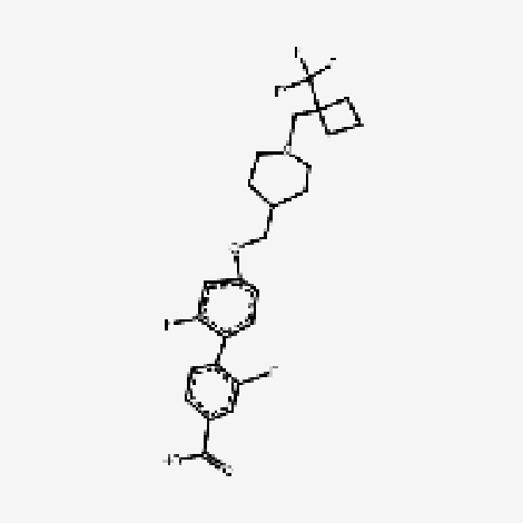 O=C(O)c1ccc(-c2ccc(OCC3CCN(CC4(C(F)(F)F)CCC4)CC3)cc2F)c(F)c1